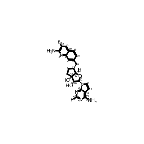 Nc1nc2cc(C[C@@H]3CC[C@@]4(O)[C@@H]3O[C@@H](n3ccc5c(N)nc(F)nc53)[C@@H]4O)ccc2cc1F